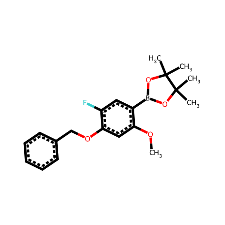 COc1cc(OCc2ccccc2)c(F)cc1B1OC(C)(C)C(C)(C)O1